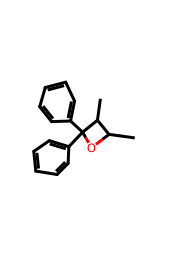 CC1OC(c2ccccc2)(c2ccccc2)C1C